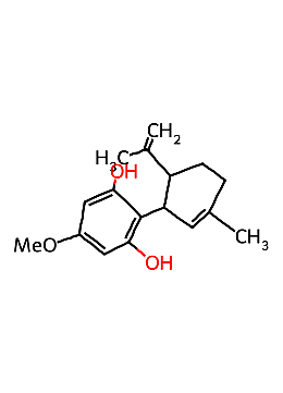 C=C(C)C1CCC(C)=CC1c1c(O)cc(OC)cc1O